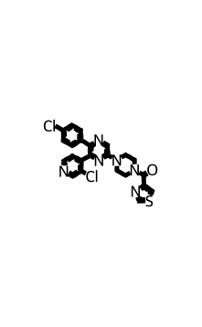 O=C(c1cscn1)N1CCN(c2cnc(-c3ccc(Cl)cc3)c(-c3ccncc3Cl)n2)CC1